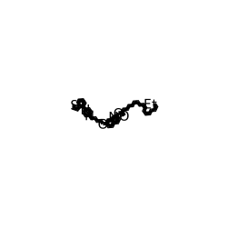 CC/C=C\C/C=C\C/C=C\C/C=C\CCCCC(=O)Oc1ccc2ccc(OCCCCN3CCN(c4cccc5c4CCS5)CC3)cc2n1